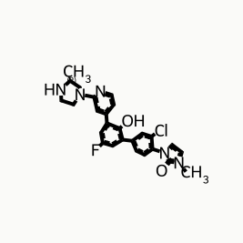 C[C@@H]1CN(c2cc(-c3cc(F)cc(-c4ccc(-n5ccn(C)c5=O)c(Cl)c4)c3O)ccn2)CCN1